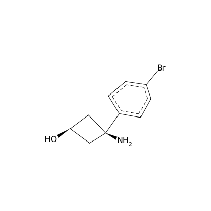 N[C@]1(c2ccc(Br)cc2)C[C@H](O)C1